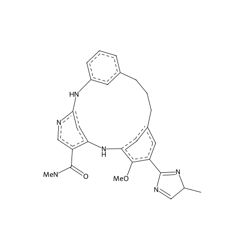 CNC(=O)c1cnc2cc1Nc1cc(cc(C3=NC(C)C=N3)c1OC)CCCc1cccc(c1)N2